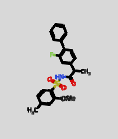 COc1cc(C)ccc1S(=O)(=O)NC(=O)C(C)c1ccc(-c2ccccc2)c(F)c1